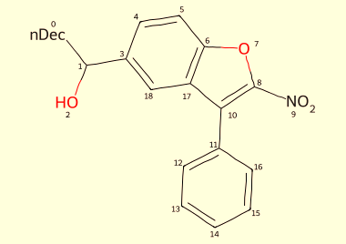 CCCCCCCCCCC(O)c1ccc2oc([N+](=O)[O-])c(-c3ccccc3)c2c1